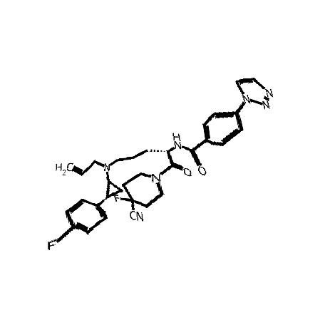 C=CCN(CCC[C@H](NC(=O)c1ccc(-n2ccnn2)cc1)C(=O)N1CCC(F)(C#N)CC1)C1C[C@H]1c1ccc(F)cc1